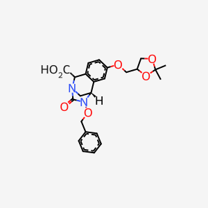 CC1(C)OCC(COc2ccc3c(c2)[C@H]2CN(C(=O)N2OCc2ccccc2)C3C(=O)O)O1